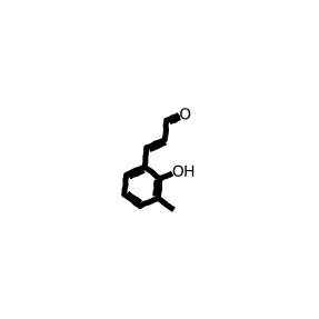 Cc1cccc(C=CC=O)c1O